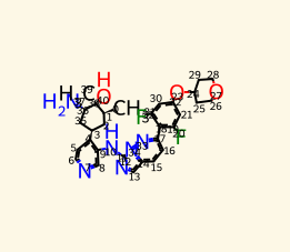 C[C@H]1C[C@@H](c2ccncc2Nc2ncc3ccc(-c4c(F)cc(OC5CCOCC5)cc4F)nn23)C[C@@H](N)[C@]1(C)O